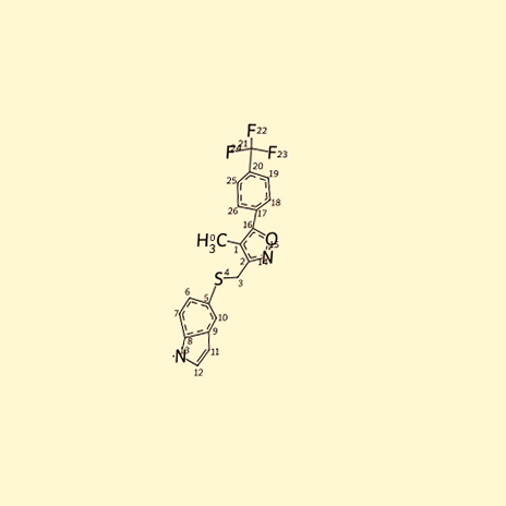 Cc1c(CSc2ccc3c(c2)C=C[N]3)noc1-c1ccc(C(F)(F)F)cc1